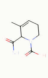 CC1=CCCN(C(=O)O)C1C(N)=O